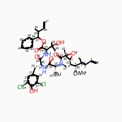 C=C/C=C(\C)[C@@H](C[C@@H]1O[C@@]1(C)C(=O)N(C)[C@H](C(=O)N[C@H](Cc1cc(Cl)c(O)c(Cl)c1)C(=O)N[C@@H](C(=O)OC(c1ccccc1)C(C)C=C)C(C)(C)O)[C@@H](C)CC)OC